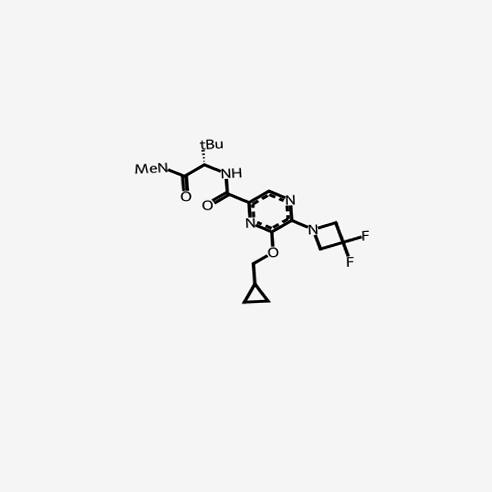 CNC(=O)[C@@H](NC(=O)c1cnc(N2CC(F)(F)C2)c(OCC2CC2)n1)C(C)(C)C